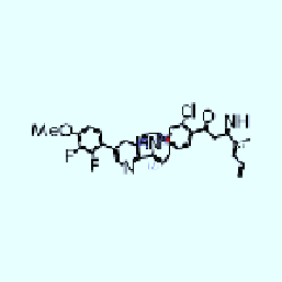 C=CC[C@H](C)C(=N)CC(=O)c1ccc(N/C2=C\C/C=C\C=C3\CC(c4ccc(OC)c(F)c4F)=CN=C32)cc1Cl